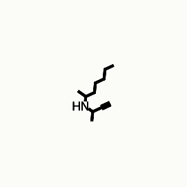 C#CC(C)NC(C)CCCCC